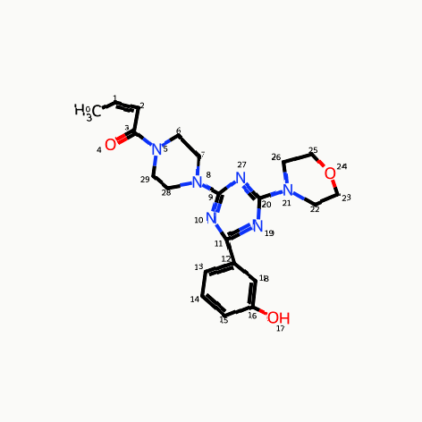 C/C=C\C(=O)N1CCN(c2nc(-c3cccc(O)c3)nc(N3CCOCC3)n2)CC1